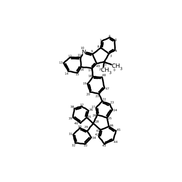 CC1(C)c2ccccc2-c2nc3ccccc3c(-c3ccc(-c4ccc5c(c4)C(c4ccccc4)(c4ccccc4)c4ccccc4-5)cc3)c21